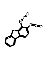 O=C=Nc1ccc2c(c1N=C=O)Cc1ccccc1-2